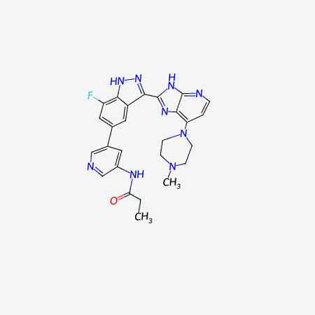 CCC(=O)Nc1cncc(-c2cc(F)c3[nH]nc(-c4nc5c(N6CCN(C)CC6)ccnc5[nH]4)c3c2)c1